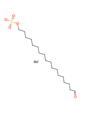 O=CCCCCCCCCCCCCCCCCCOS(=O)(=O)[O-].[Na+]